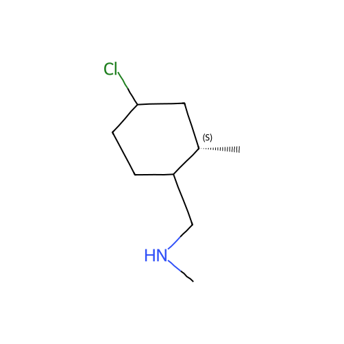 CNCC1CCC(Cl)C[C@@H]1C